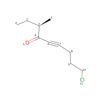 CC[C@@H](C)C(=O)C#CCCCCl